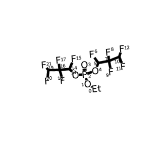 CCOP(=O)(OC(F)C(F)(F)C(F)F)OC(F)C(F)(F)C(F)F